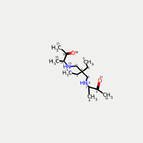 CCC(CC)(CNC(C)C(C)=O)CNC(C)C(C)=O